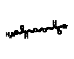 NOCC(=O)NCCOCCOCCNC(=O)CBr